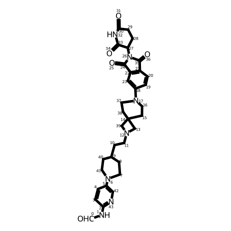 O=CNc1ccc(N2CCC(CCN3CC4(CCN(c5ccc6c(c5)C(=O)N(C5CCC(=O)NC5=O)C6=O)CC4)C3)CC2)cn1